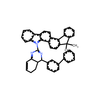 CC1(C)c2ccccc2-c2c1ccc1c2ccc2c3ccccc3n(C3=NC(c4cccc(-c5ccccc5)c4)C4CCC=CC4=N3)c12